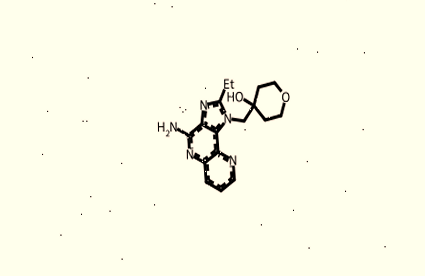 CCc1nc2c(N)nc3cccnc3c2n1CC1(O)CCOCC1